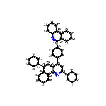 c1ccc(-c2cc(-c3ccc(-c4nc5ccccc5c5ccccc45)cc3)c3cc(-c4ccccc4)c4ccccc4c3n2)cc1